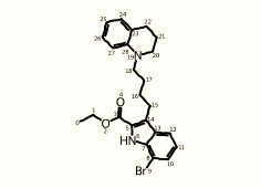 CCOC(=O)c1[nH]c2c(Br)cccc2c1CCCCN1CCCc2ccccc21